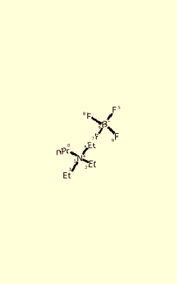 CCC[N+](CC)(CC)CC.F[B-](F)(F)F